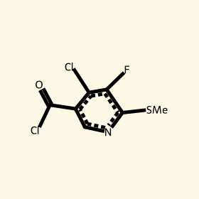 CSc1ncc(C(=O)Cl)c(Cl)c1F